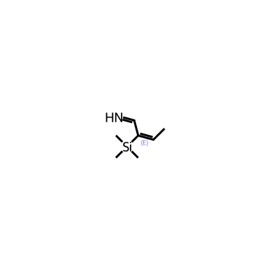 C/C=C(\C=N)[Si](C)(C)C